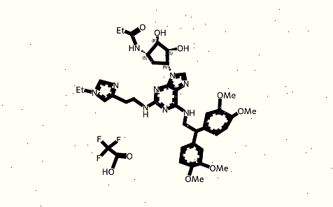 CCC(=O)N[C@H]1C[C@@H](n2cnc3c(NCC(c4ccc(OC)c(OC)c4)c4ccc(OC)c(OC)c4)nc(NCCc4cn(CC)cn4)nc32)[C@H](O)[C@@H]1O.O=C(O)C(F)(F)F